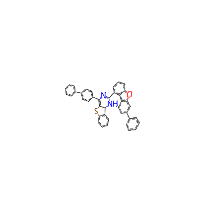 c1ccc(-c2ccc(C3=C4Sc5ccccc5C4NC(c4cccc5oc6cc(-c7ccccc7)ccc6c45)=N3)cc2)cc1